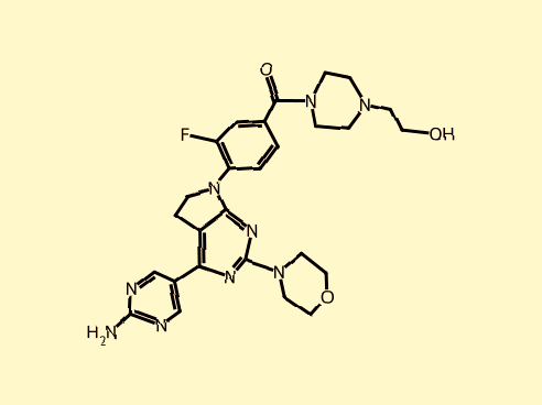 Nc1ncc(-c2nc(N3CCOCC3)nc3c2CCN3c2ccc(C(=O)N3CCN(CCO)CC3)cc2F)cn1